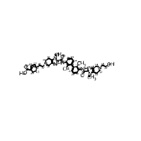 Cc1c(NC(=O)c2nc3c(n2C)CCN(CCO)C3)cccc1-c1cccc(NC(=O)c2nc3c(n2C)CCN(CCC24CCC(C(=O)O)(CC2)C4)C3)c1Cl